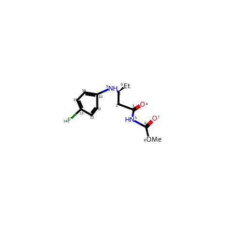 CC[C@@H](CC(=O)NC(=O)OC)Nc1ccc(F)cc1